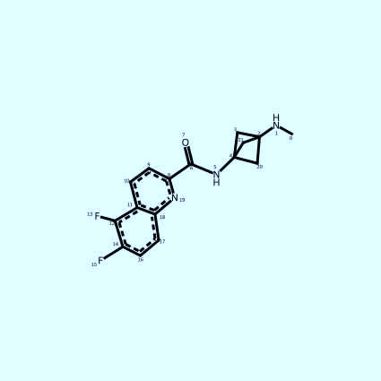 CNC12CC(NC(=O)c3ccc4c(F)c(F)ccc4n3)(C1)C2